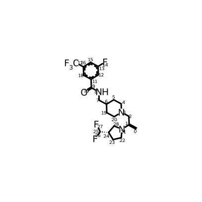 C=C(CN1CCC(CNC(=O)c2cc(F)cc(C(F)(F)F)c2)CC1)N1CC[C@H](C(F)F)C1